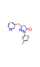 Cc1csc(N2N=C(Cc3cccnc3)CC2=O)c1